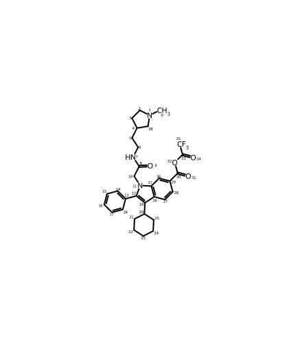 CN1CCC(CCNC(=O)Cn2c(-c3ccccc3)c(C3CCCCC3)c3ccc(C(=O)OC(=O)C(F)(F)F)cc32)C1